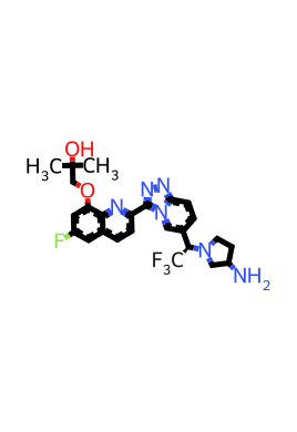 CC(C)(O)COc1cc(F)cc2ccc(-c3nnc4ccc([C@@H](N5CCC(N)C5)C(F)(F)F)cn34)nc12